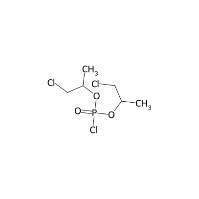 CC(CCl)OP(=O)(Cl)OC(C)CCl